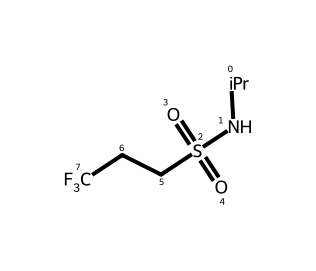 CC(C)NS(=O)(=O)CCC(F)(F)F